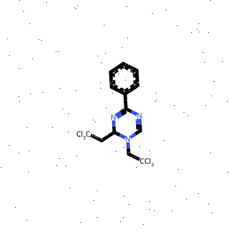 ClC(Cl)(Cl)CC1N=C(c2ccccc2)N=CN1CC(Cl)(Cl)Cl